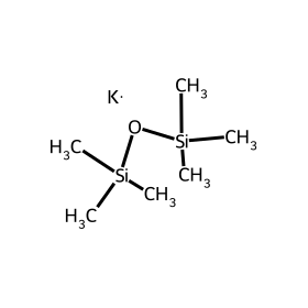 C[Si](C)(C)O[Si](C)(C)C.[K]